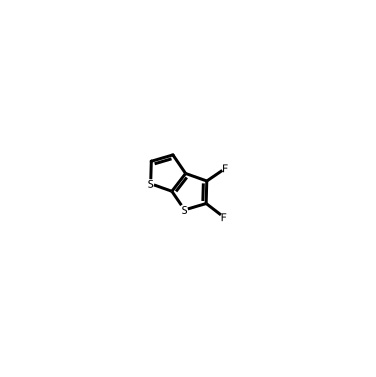 Fc1sc2sccc2c1F